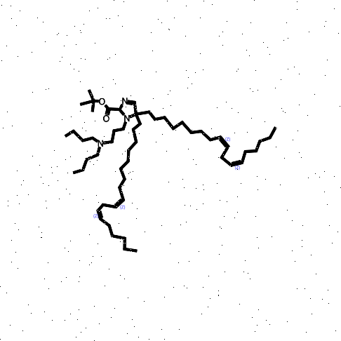 CCCCC/C=C\C/C=C\CCCCCCCCC1(CCCCCCCC/C=C\C/C=C\CCCCC)C=NC(C(=O)OC(C)(C)C)N1CCCN(CCCC)CCCC